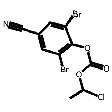 CC(Cl)OC(=O)Oc1c(Br)cc(C#N)cc1Br